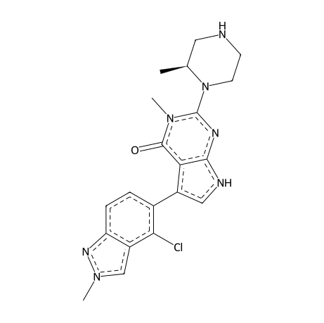 C[C@H]1CNCCN1c1nc2[nH]cc(-c3ccc4nn(C)cc4c3Cl)c2c(=O)n1C